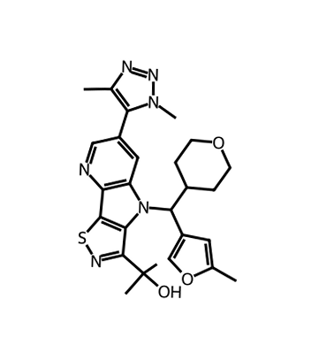 Cc1cc(C(C2CCOCC2)n2c3cc(-c4c(C)nnn4C)cnc3c3snc(C(C)(C)O)c32)co1